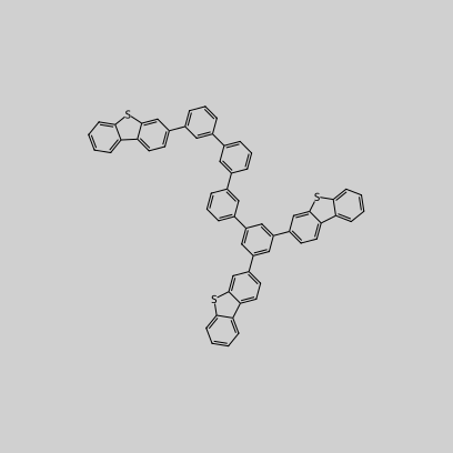 c1cc(-c2cccc(-c3cc(-c4ccc5c(c4)sc4ccccc45)cc(-c4ccc5c(c4)sc4ccccc45)c3)c2)cc(-c2cccc(-c3ccc4c(c3)sc3ccccc34)c2)c1